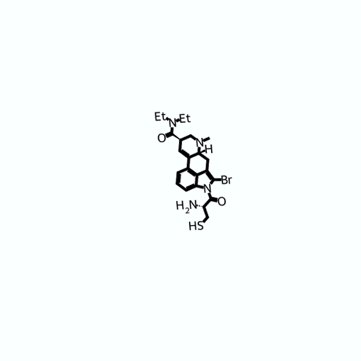 CCN(CC)C(=O)[C@@H]1C=C2c3cccc4c3c(c(Br)n4C(=O)[C@@H](N)CS)C[C@H]2N(C)C1